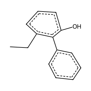 CCc1cccc(O)c1-c1ccccc1